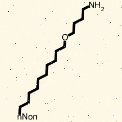 CCCCCCCCCCCCCCCCCCCOCCCCN